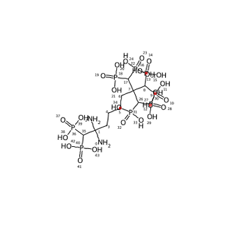 NC(N)(CCCCC(C(P(=O)(O)O)P(=O)(O)O)(C(P(=O)(O)O)P(=O)(O)O)C(P(=O)(O)O)P(=O)(O)O)C(P(=O)(O)O)P(=O)(O)O